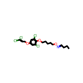 CCCC=NOCCCCCOc1c(Cl)cc(OCC=C(Cl)Cl)cc1Cl